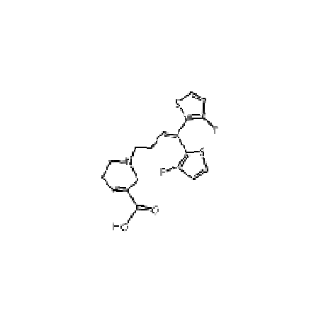 O=C(O)C1=CCCN(CCC=C(c2sccc2F)c2sccc2F)C1